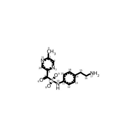 Cc1cnc(C(=O)S(=O)(=O)Nc2ccc(CCN)cc2)cn1